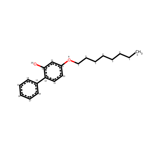 CCCCCCCCOc1ccc(-c2ccccc2)c([O])c1